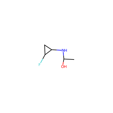 CC(O)NC1CC1F